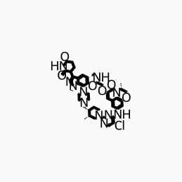 CNC(=O)COc1cc2cc(Nc3nc(N4CC[C@@H](CN5CCN(c6cccc7c(C8CCC(=O)NC8=O)nn(C)c67)CC5)[C@@H](C)C4)ncc3Cl)cc3c2n(c1=O)[C@H](C)CO3